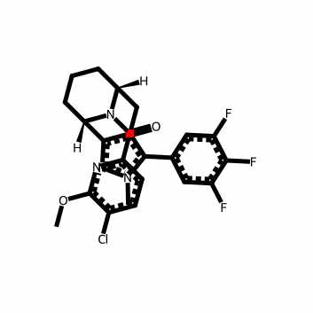 COc1nc(C(=O)N2[C@@H]3CCC[C@H]2c2nn(C)c(-c4cc(F)c(F)c(F)c4)c2C3)ccc1Cl